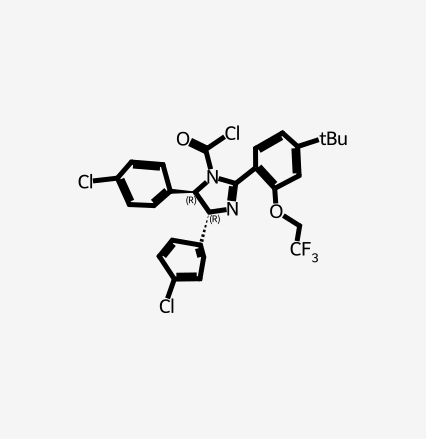 CC(C)(C)c1ccc(C2=N[C@H](c3ccc(Cl)cc3)[C@@H](c3ccc(Cl)cc3)N2C(=O)Cl)c(OCC(F)(F)F)c1